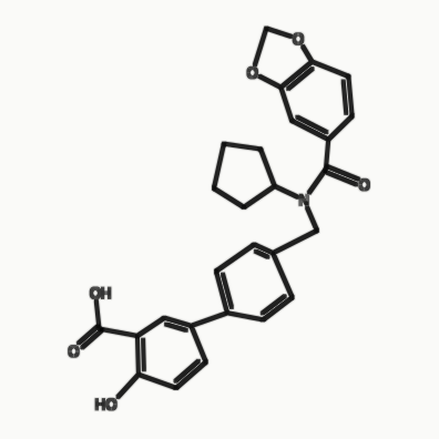 O=C(O)c1cc(-c2ccc(CN(C(=O)c3ccc4c(c3)OCO4)C3CCCC3)cc2)ccc1O